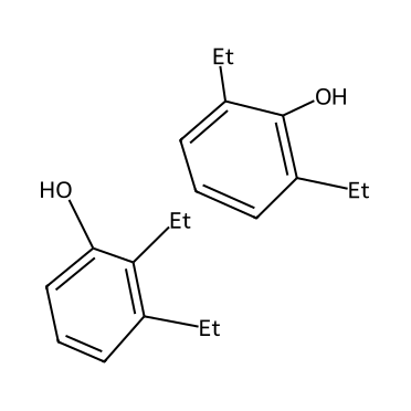 CCc1cccc(CC)c1O.CCc1cccc(O)c1CC